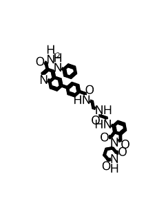 NC(=O)c1cnc2ccc(-c3ccc(C(=O)NCCNC(=O)CNc4cccc5c4C(=O)N(C4CCC(=O)NC4=O)C5=O)cc3)cc2c1Nc1ccccc1